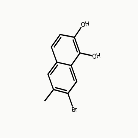 Cc1cc2ccc(O)c(O)c2cc1Br